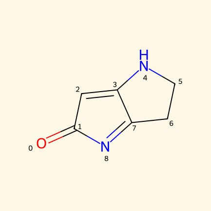 O=C1C=C2NCCC2=N1